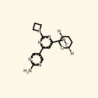 Nc1ncc(-c2cc(N3C[C@@H]4CC[C@H]3CO4)nc(N3CCC3)n2)cn1